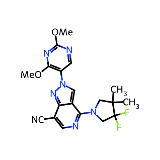 COc1ncc(-n2cc3c(N4CC(C)(C)C(F)(F)C4)ncc(C#N)c3n2)c(OC)n1